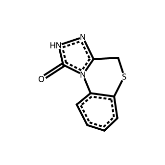 O=c1[nH]nc2n1-c1ccccc1SC2